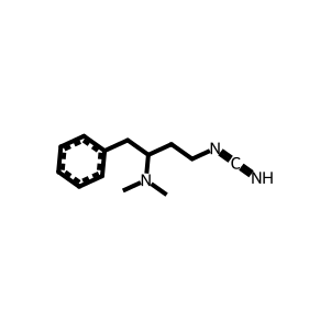 CN(C)C(CCN=C=N)Cc1ccccc1